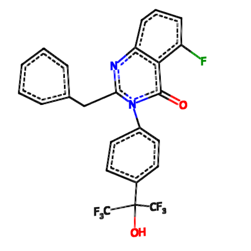 O=c1c2c(F)cccc2nc(Cc2ccccc2)n1-c1ccc(C(O)(C(F)(F)F)C(F)(F)F)cc1